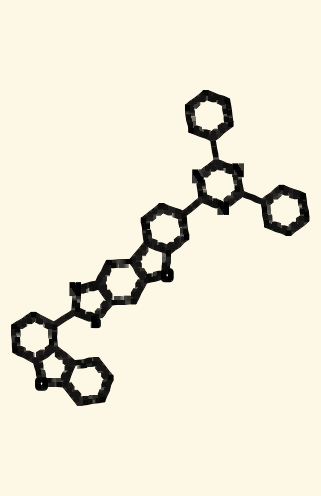 c1ccc(-c2nc(-c3ccccc3)nc(-c3ccc4c(c3)oc3cc5sc(-c6cccc7oc8ccccc8c67)nc5cc34)n2)cc1